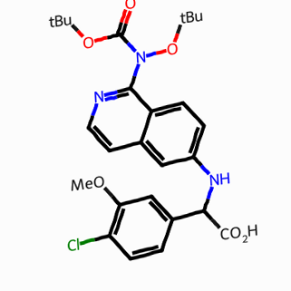 COc1cc(C(Nc2ccc3c(N(OC(C)(C)C)C(=O)OC(C)(C)C)nccc3c2)C(=O)O)ccc1Cl